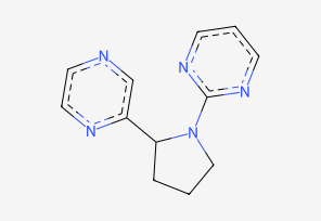 c1cnc(N2CCCC2c2cnccn2)nc1